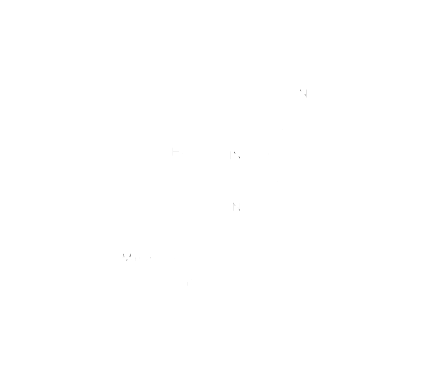 COC(=O)c1ccc(NC(=O)C2CNC2)nc1.Cl